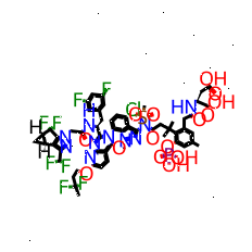 Cc1cc(CC(=O)N[C@@H](CC(=O)O)C(=O)O)c(C(C)(C)CC(=O)N(c2nn(C)c3c(-n4c([C@H](Cc5cc(F)cc(F)c5)NC(=O)Cn5nc(C(F)F)c6c5C(F)(F)[C@@H]5C[C@H]65)nc5nc(OCCC(C)(F)F)ccc5c4=O)ccc(Cl)c23)S(C)(=O)=O)c(OP(=O)(O)O)c1